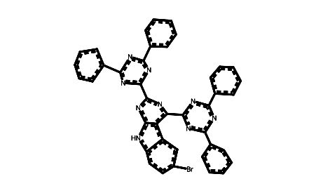 Brc1ccc2[nH]c3nc(-c4nc(-c5ccccc5)nc(-c5ccccc5)n4)nc(-c4nc(-c5ccccc5)nc(-c5ccccc5)n4)c3c2c1